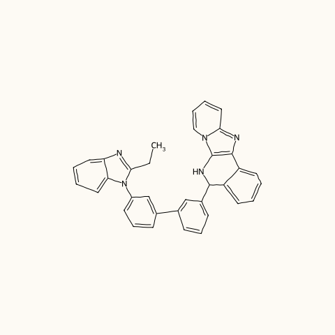 CCc1nc2ccccc2n1-c1cccc(-c2cccc(C3Nc4c(nc5ccccn45)-c4ccccc43)c2)c1